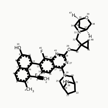 C#Cc1c(C)ccc2cc(O)cc(-c3c(C(F)(F)F)cc4c(N5CC6CCC(C5)N6)nc(OCC5(CN6C[C@@H]7C[C@H]6CO7)CC5)nc4c3F)c12